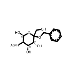 CC(=O)NC1[C@@H](O)OC(CO)(OCc2ccccc2)[C@H](O)[C@H]1O